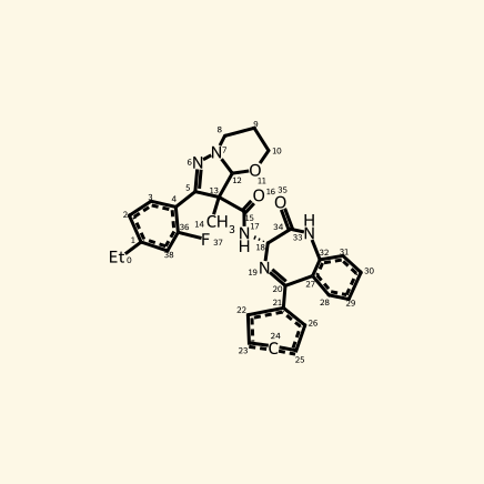 CCc1ccc(C2=NN3CCCOC3C2(C)C(=O)N[C@H]2N=C(c3ccccc3)c3ccccc3NC2=O)c(F)c1